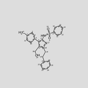 Cc1ccc(-c2c(NS(=O)(=O)c3ccccc3)nn(CCc3ccccc3)c2CO)cc1